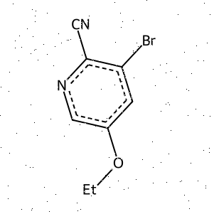 CCOc1cnc(C#N)c(Br)c1